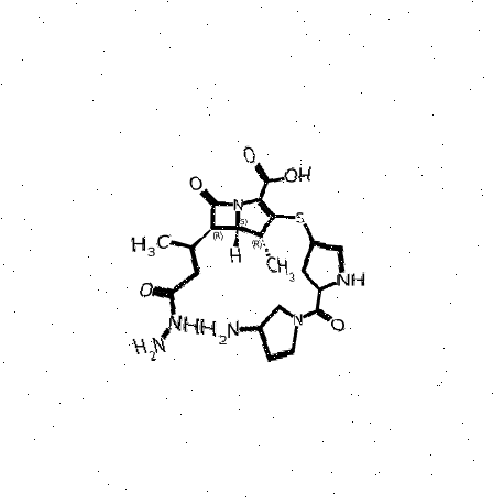 CC(CC(=O)NN)[C@H]1C(=O)N2C(C(=O)O)=C(SC3CNC(C(=O)N4CCC(N)C4)C3)[C@H](C)[C@H]12